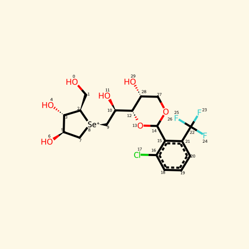 OC[C@@H]1[C@@H](O)[C@H](O)C[Se@+]1C[C@@H](O)[C@H]1OC(c2c(Cl)cccc2C(F)(F)F)OC[C@H]1O